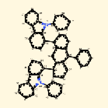 c1ccc(-c2c3cccc(-c4cccc5c6ccccc6n(-c6ccccc6)c45)c3cc3c(-c4cccc5c6ccccc6n(-c6ccccc6)c45)cccc23)cc1